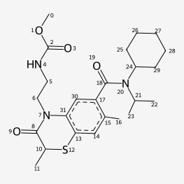 COC(=O)NCCN1C(=O)C(C)Sc2cc(C)c(C(=O)N(C(C)C)C3CCCCC3)cc21